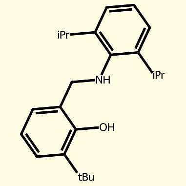 CC(C)c1cccc(C(C)C)c1NCc1cccc(C(C)(C)C)c1O